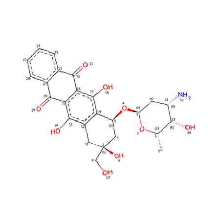 C[C@@H]1O[C@@H](O[C@H]2C[C@](O)(CO)Cc3c(O)c4c(c(O)c32)C(=O)c2ccccc2C4=O)C[C@H](N)[C@@H]1O